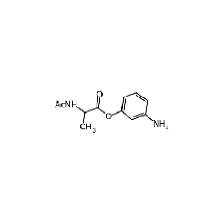 CC(=O)NC(C)C(=O)Oc1cccc(N)c1